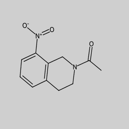 CC(=O)N1CCc2cccc([N+](=O)[O-])c2C1